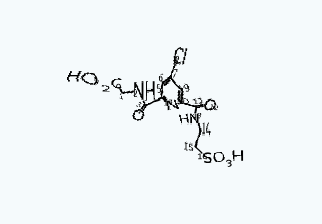 O=C(O)CNC(=O)c1cc(Cl)cc(C(=O)NCCS(=O)(=O)O)n1